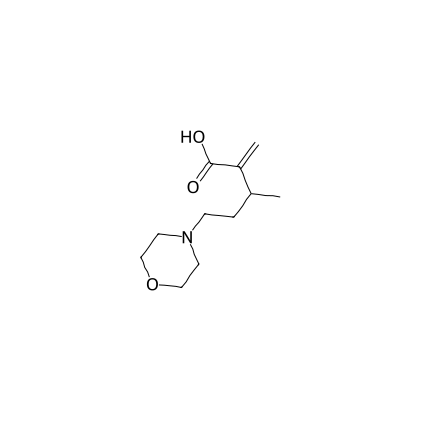 C=C(C(=O)O)C(C)CCN1CCOCC1